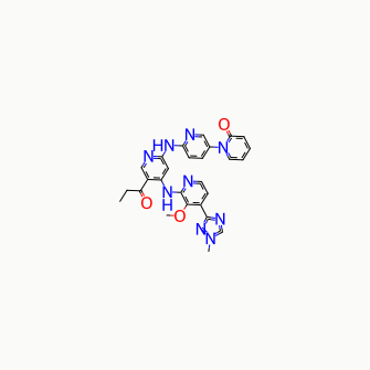 CCC(=O)c1cnc(Nc2ccc(-n3ccccc3=O)cn2)cc1Nc1nccc(-c2ncn(C)n2)c1OC